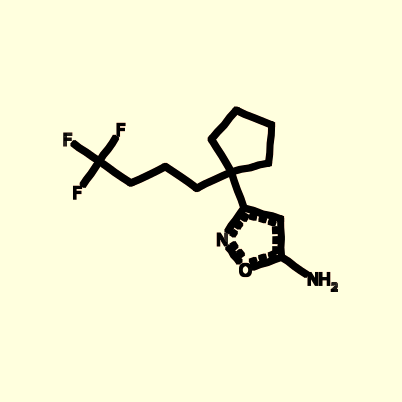 Nc1cc(C2(CCCC(F)(F)F)CCCC2)no1